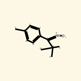 Cc1ccc(C(=[NH+][O-])C(C)(C)C)cc1